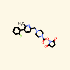 Cc1nc(CN2CCN(C(=O)ON3C(=O)CCC3=O)CC2)ccc1-c1ccccc1F